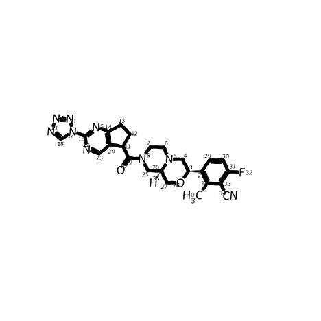 Cc1c([C@@H]2CN3CCN(C(=O)C4CCc5nc(-n6cnnn6)ncc54)C[C@@H]3CO2)ccc(F)c1C#N